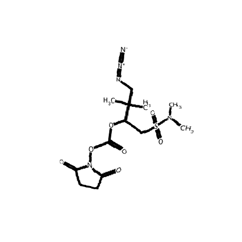 CN(C)S(=O)(=O)CC(OC(=O)ON1C(=O)CCC1=O)C(C)(C)CN=[N+]=[N-]